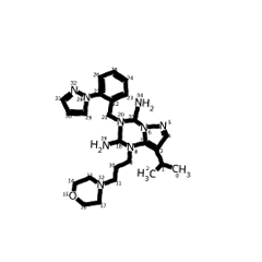 CC(C)c1cnn2c1N(CCCN1CCOCC1)C(N)N(Cc1ccccc1-n1cccn1)C2N